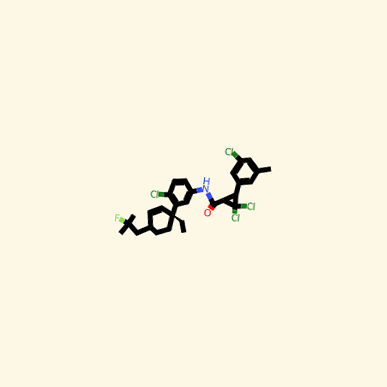 CC[C@]1(c2cc(NC(=O)C3C(c4cc(C)cc(Cl)c4)C3(Cl)Cl)ccc2Cl)C=CC(CC(C)(C)F)CC1